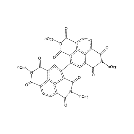 CCCCCCCCN1C(=O)c2ccc3c4c(c(-c5cc6c7c(ccc8c7c5C(=O)N(CCCCCCCC)C8=O)C(=O)N(CCCCCCCC)C6=O)cc(c24)C1=O)C(=O)N(CCCCCCCC)C3=O